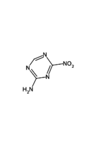 Nc1ncnc([N+](=O)[O-])n1